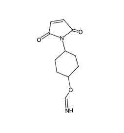 N=COC1CCC(N2C(=O)C=CC2=O)CC1